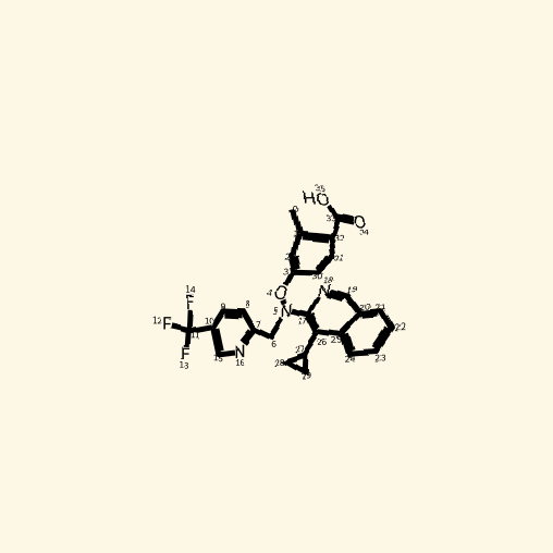 Cc1cc(ON(Cc2ccc(C(F)(F)F)cn2)c2ncc3ccccc3c2C2CC2)ccc1C(=O)O